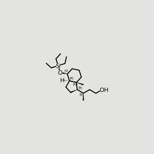 CC[Si](CC)(CC)O[C@H]1CCC[C@]2(C)[C@@H]([C@H](C)CCO)CC[C@@H]12